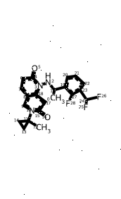 CC(Nn1c(=O)ccc2cn(C3(C)CC3)c(=O)cc21)c1cccc(C(F)F)c1F